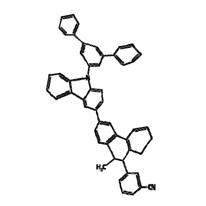 CC1c2ccc(-c3ccc4c(c3)c3ccccc3n4-c3cc(-c4ccccc4)cc(-c4ccccc4)c3)cc2C2=C(CCC=C2)C1c1cccc(C#N)c1